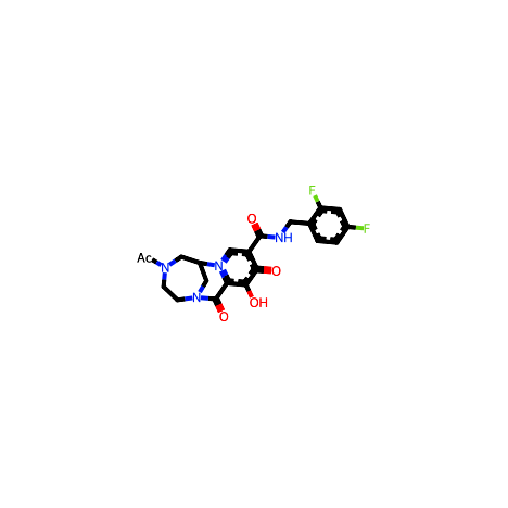 CC(=O)N1CCN2CC(C1)n1cc(C(=O)NCc3ccc(F)cc3F)c(=O)c(O)c1C2=O